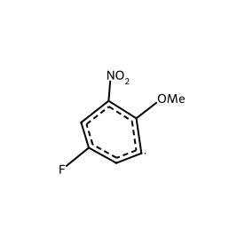 COc1[c]cc(F)cc1[N+](=O)[O-]